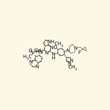 COc1cc(N2CCN(CC3(F)CC3)CC2)c(-c2cnn(C)c2)cc1Nc1nc(Nc2ccc3nccnc3c2P(C)(C)=O)c2cc[nH]c2n1